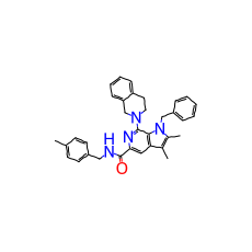 Cc1ccc(CNC(=O)c2cc3c(C)c(C)n(Cc4ccccc4)c3c(N3CCc4ccccc4C3)n2)cc1